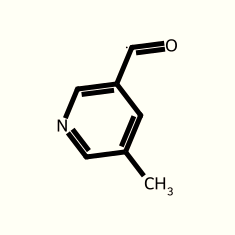 Cc1cncc([C]=O)c1